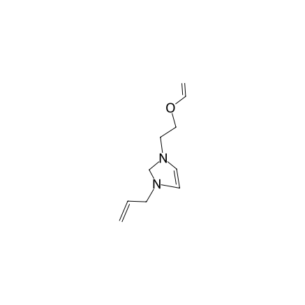 C=CCN1C=CN(CCOC=C)C1